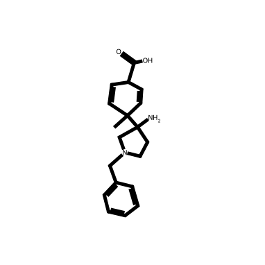 CC1(C2(N)CCN(Cc3ccccc3)C2)C=CC(C(=O)O)C=C1